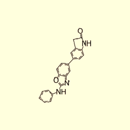 O=C1Cc2cc(-c3ccc4oc(Nc5ccccc5)nc4c3)ccc2N1